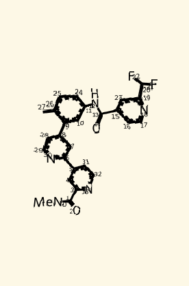 CNC(=O)c1cc(-c2cc(-c3cc(NC(=O)c4ccnc(C(F)F)c4)ccc3C)ccn2)ccn1